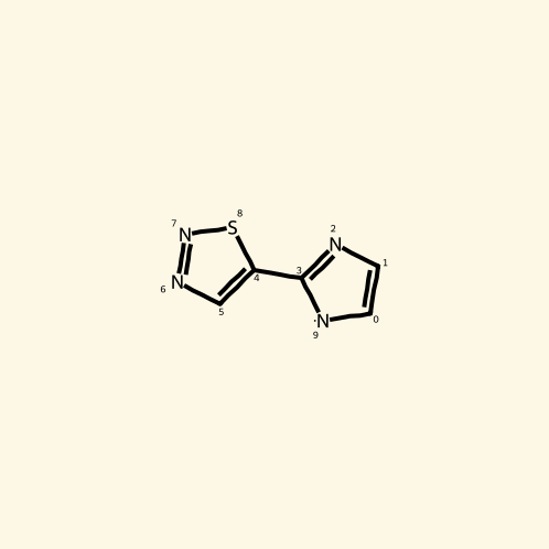 C1=CN=C(c2cnns2)[N]1